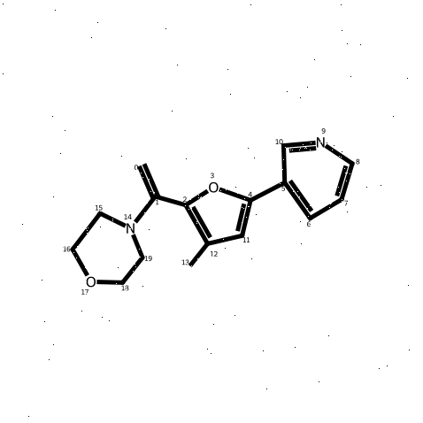 C=C(c1oc(-c2cccnc2)cc1C)N1CCOCC1